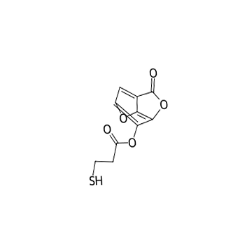 O=C(CCS)Oc1c2c3oc1cc3C(=O)O2